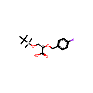 CC(C)(C)[Si](C)(C)OC[C@@H](OCc1ccc(I)cc1)C(=O)O